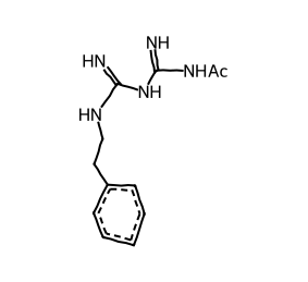 CC(=O)NC(=N)NC(=N)NCCc1ccccc1